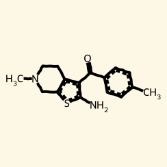 Cc1ccc(C(=O)c2c(N)sc3c2CCN(C)C3)cc1